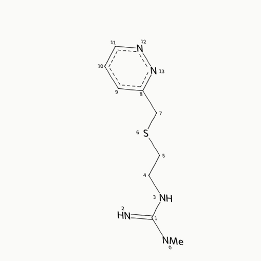 CNC(=N)NCCSCc1cccnn1